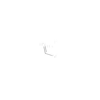 Br.Br.N=CN